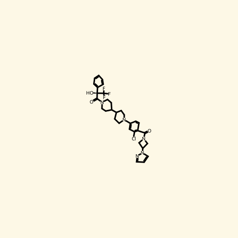 O=C(c1ccc(N2CCC(C3CCN(C(=O)[C@](O)(c4ccccc4)C(F)(F)F)CC3)CC2)cc1Cl)N1CC(n2cccn2)C1